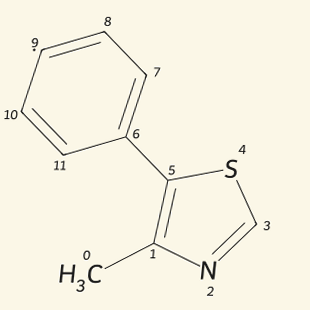 Cc1ncsc1-c1cc[c]cc1